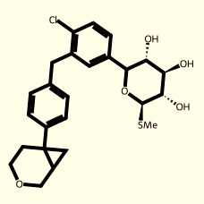 CS[C@H]1OC(c2ccc(Cl)c(Cc3ccc(C45CCOCC4C5)cc3)c2)[C@H](O)[C@@H](O)[C@@H]1O